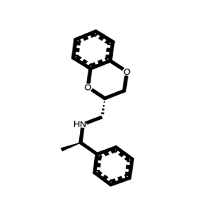 C[C@@H](NC[C@H]1COc2ccccc2O1)c1ccccc1